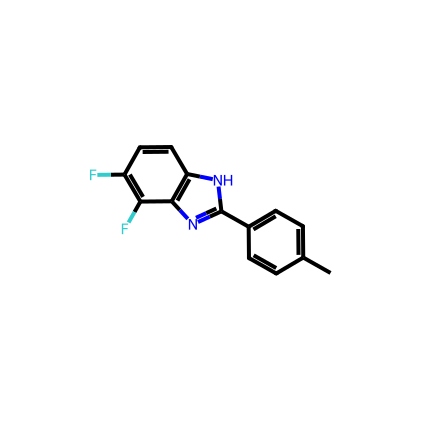 Cc1ccc(-c2nc3c(F)c(F)ccc3[nH]2)cc1